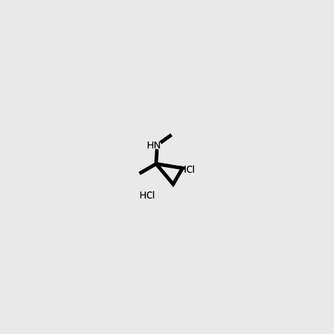 CNC1(C)CC1.Cl.Cl